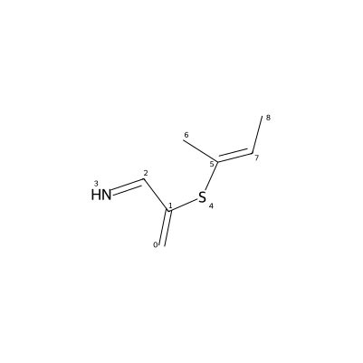 C=C(C=N)S/C(C)=C/C